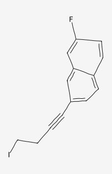 Fc1ccc2ccc(C#CCCI)cc2c1